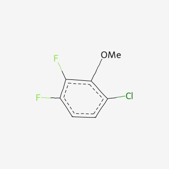 COc1c(Cl)ccc(F)c1F